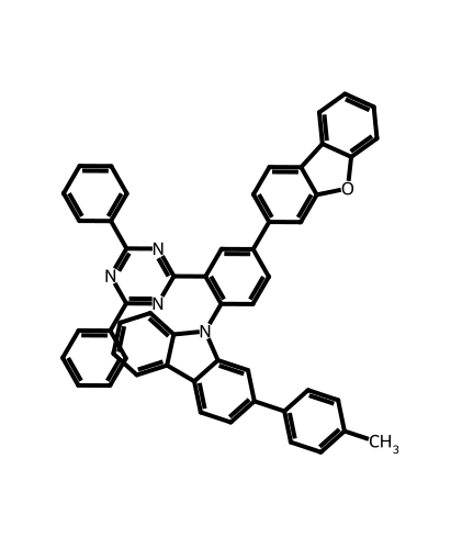 Cc1ccc(-c2ccc3c4ccccc4n(-c4ccc(-c5ccc6c(c5)oc5ccccc56)cc4-c4nc(-c5ccccc5)nc(-c5ccccc5)n4)c3c2)cc1